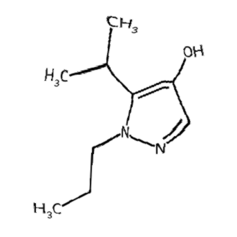 CCCn1ncc(O)c1C(C)C